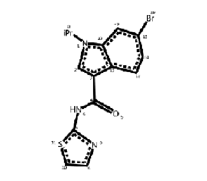 CC(C)n1cc(C(=O)Nc2nccs2)c2ccc(Br)cc21